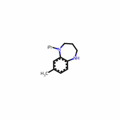 Cc1ccc2c(c1)N(C(C)C)CCCN2